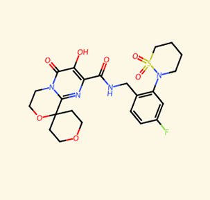 O=C(NCc1ccc(F)cc1N1CCCCS1(=O)=O)c1nc2n(c(=O)c1O)CCOC21CCOCC1